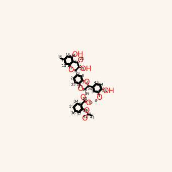 COc1cc(C2Oc3cc([C@@H]4Oc5cc(C)cc(O)c5C(=O)C4O)ccc3O[C@H]2COC(=O)c2ccccc2OC(C)=O)ccc1O